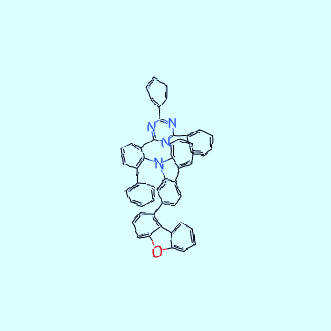 c1ccc(-c2nc(-c3ccccc3)nc(-c3cccc(-c4ccccc4)c3-n3c4ccccc4c4ccc(-c5cccc6oc7ccccc7c56)cc43)n2)cc1